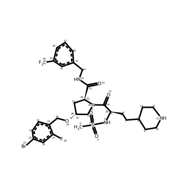 CS(=O)(=O)N[C@H](CCC1CCNCC1)C(=O)N1C[C@H](OCc2ccc(Br)cc2F)C[C@H]1C(=O)NCc1cccc(C(F)(F)F)c1